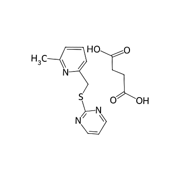 Cc1cccc(CSc2ncccn2)n1.O=C(O)CCC(=O)O